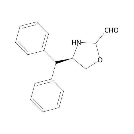 O=CC1N[C@H](C(c2ccccc2)c2ccccc2)CO1